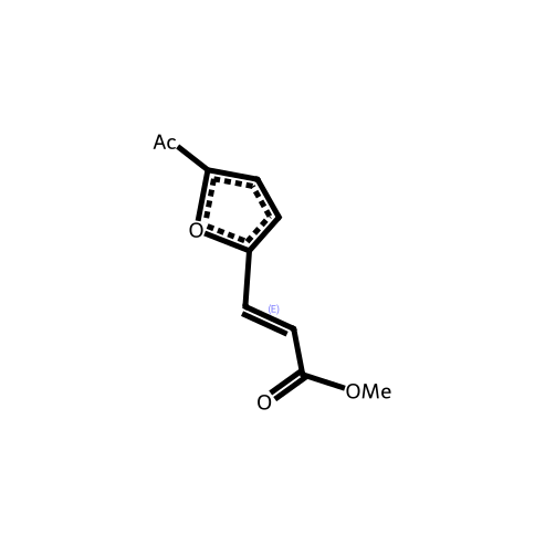 COC(=O)/C=C/c1ccc(C(C)=O)o1